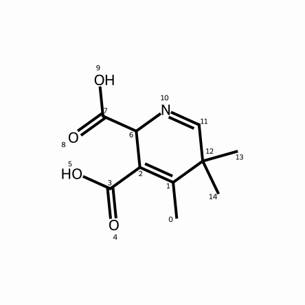 CC1=C(C(=O)O)C(C(=O)O)N=CC1(C)C